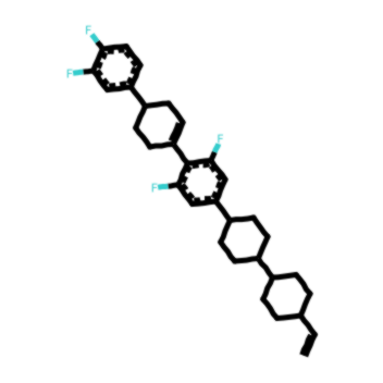 C=CC1CCC(C2CCC(c3cc(F)c(C4=CCC(c5ccc(F)c(F)c5)CC4)c(F)c3)CC2)CC1